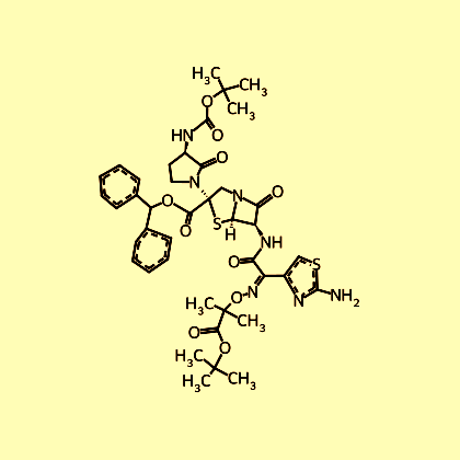 CC(C)(C)OC(=O)N[C@@H]1CCN([C@]2(C(=O)OC(c3ccccc3)c3ccccc3)CN3C(=O)[C@@H](NC(=O)/C(=N\OC(C)(C)C(=O)OC(C)(C)C)c4csc(N)n4)[C@H]3S2)C1=O